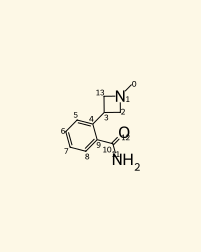 CN1CC(c2ccccc2C(N)=O)C1